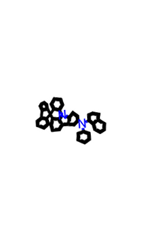 c1ccc(N(c2ccc3c(c2)c2cccc4c2n3-c2ccccc2C42c3ccccc3-c3ccccc32)c2cccc3ccccc23)cc1